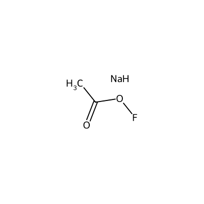 CC(=O)OF.[NaH]